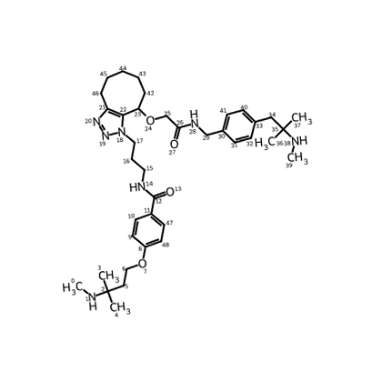 CNC(C)(C)CCOc1ccc(C(=O)NCCCn2nnc3c2C(OCC(=O)NCc2ccc(CC(C)(C)NC)cc2)CCCCC3)cc1